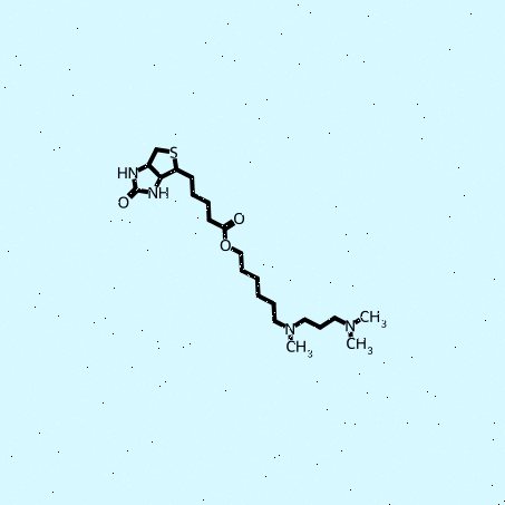 CN(C)CCCN(C)CCCCCCOC(=O)CCCCC1SCC2NC(=O)NC21